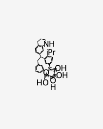 CC(C)c1ccc([C@@H]2O[C@H](CO)[C@@H](O)[C@H](O)[C@H]2O)cc1C(Cc1ccccc1)c1ccc2c(c1)NCCC2